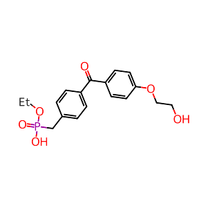 CCOP(=O)(O)Cc1ccc(C(=O)c2ccc(OCCO)cc2)cc1